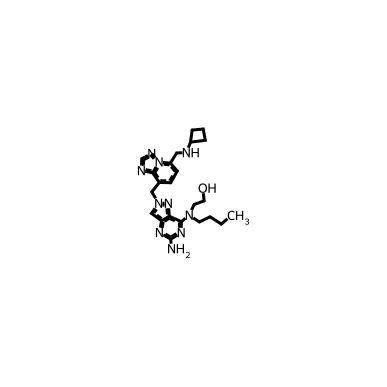 CCCCN(CCO)c1nc(N)nc2cn(Cc3ccc(CNC4CCC4)n4ncnc34)nc12